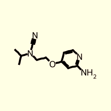 CC(C)N(C#N)CCOc1ccnc(N)c1